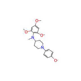 COc1cc(OC)c(N(C)C2CCN(c3ccc([O])cc3)CC2)c(OC)c1